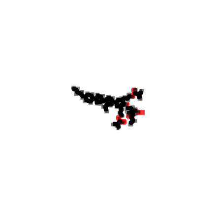 C=C(C)C(=O)OCCCc1cc(-c2ccc(-c3ccc(C4CCC(CCCCC)CC4)cc3)c(CC)c2)cc(CCCOC(=O)C(=C)C)c1OCCC(CO)(CO)CCCC